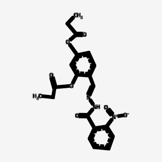 CCC(=O)Oc1ccc(/C=N/NC(=O)c2ccccc2[N+](=O)[O-])c(OC(=O)CC)c1